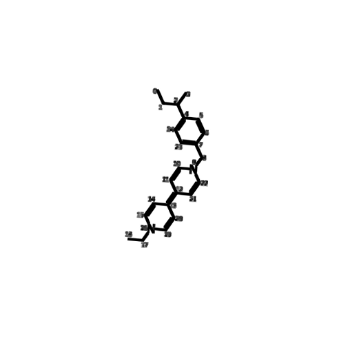 CCC(C)c1ccc(CN2C=CC(=C3C=CN(CC)C=C3)C=C2)cc1